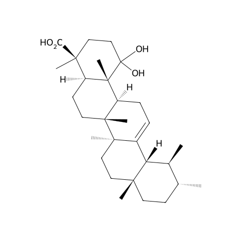 C[C@H]1[C@H](C)CC[C@]2(C)CC[C@]3(C)C(=CC[C@@H]4[C@]5(C)[C@@H](CC[C@]43C)[C@@](C)(C(=O)O)CCC5(O)O)[C@H]12